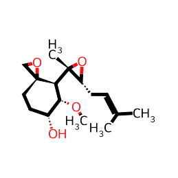 CO[C@@H]1[C@H](O)CC[C@]2(CO2)[C@H]1[C@]1(C)O[C@@H]1CC=C(C)C